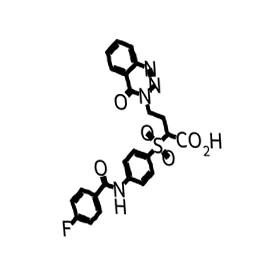 O=C(Nc1ccc(S(=O)(=O)C(CCn2nnc3ccccc3c2=O)C(=O)O)cc1)c1ccc(F)cc1